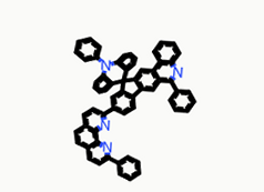 c1ccc(-c2ccc3ccc4ccc(-c5ccc6c(c5)C5(c7cc8c(cc7-6)c(-c6ccccc6)nc6ccccc68)c6ccccc6N(c6ccccc6)c6ccccc65)nc4c3n2)cc1